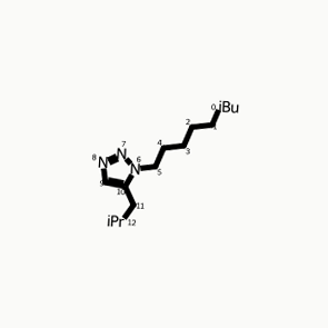 CCC(C)CCCCCn1nncc1CC(C)C